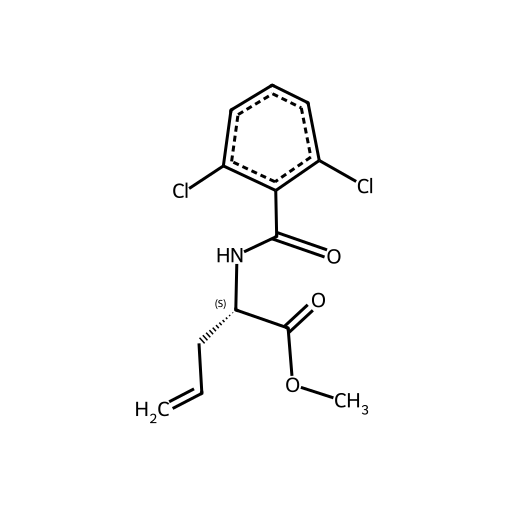 C=CC[C@H](NC(=O)c1c(Cl)cccc1Cl)C(=O)OC